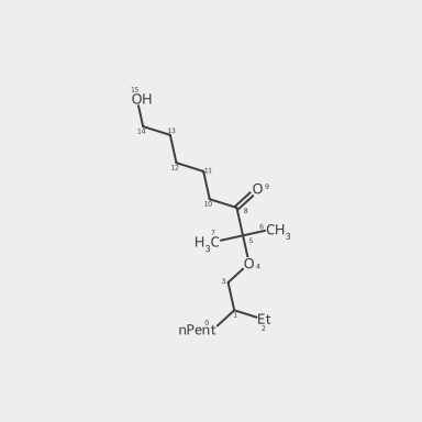 CCCCCC(CC)COC(C)(C)C(=O)CCCCCO